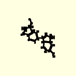 CC[C@@H]1NSc2ccc(-c3c[nH]c4cc(F)ccc34)cc21